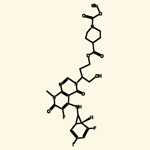 Cn1c(=O)c(F)c(NC2C3C=C(I)C=C(F)[C@H]32)c2c(=O)n(C(CO)CCOC(=O)C3CCN(C(=O)OC(C)(C)C)CC3)cnc21